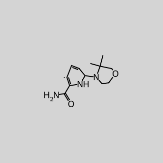 CC1(C)COCCN1C1C=C[C]=C(C(N)=O)N1